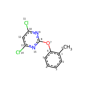 Cc1ccccc1Oc1nc(Cl)cc(Cl)n1